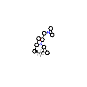 CC1(C)c2ccccc2-c2ccc(N(c3ccc(-c4cccc(-n5c6ccccc6c6ccccc65)c4)cc3)c3cc(-c4ccccc4)ccc3-c3ccccc3)cc21